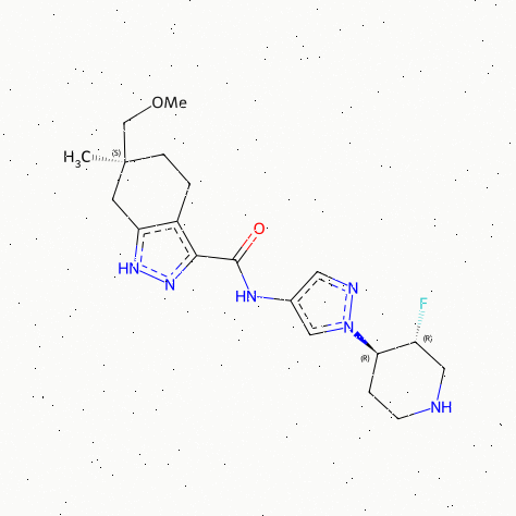 COC[C@@]1(C)CCc2c(C(=O)Nc3cnn([C@@H]4CCNC[C@H]4F)c3)n[nH]c2C1